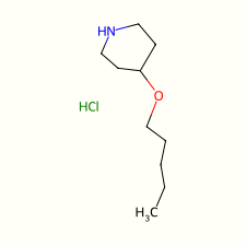 CCCCCOC1CCNCC1.Cl